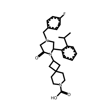 CC(C)c1ccccc1C1CN(Cc2ccc(F)cc2)CC(=O)N1C1CC2(CCN(C(=O)O)CC2)C1